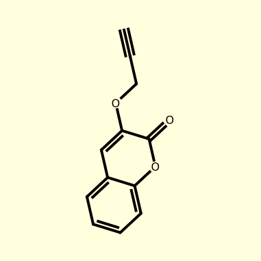 C#CCOc1cc2ccccc2oc1=O